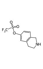 O=S(=O)(Oc1ccc2c(c1)CCNC2)C(F)(F)F